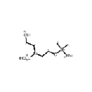 CC(C)(C)[Si](C)(C)OCCN(CCO)C(=O)O